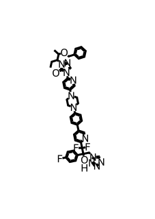 CCC(C(C)OCc1ccccc1)n1ncn(-c2ccc(N3CCN(c4ccc(-c5ccc(C(F)(F)C(O)(Cn6cnnn6)c6ccc(F)cc6)nc5)cc4)CC3)cn2)c1=O